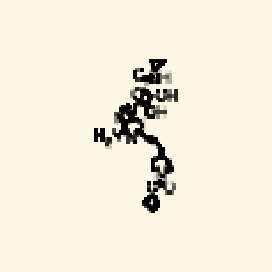 Nc1nc(C#CCC2CCN(C(=O)OC3CCC3)CC2)nc2c1ncn2[C@@H]1O[C@H](C(=O)NC2CC2)[C@H](O)C1O